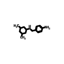 CC1CC(C)CC(NCc2ccc(N)cc2)C1